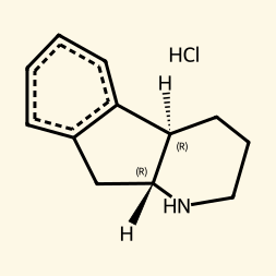 Cl.c1ccc2c(c1)C[C@H]1NCCC[C@H]21